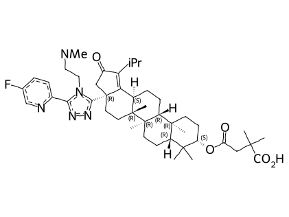 CNCCn1c(-c2ccc(F)cn2)nnc1[C@@]12CC[C@]3(C)[C@H](CC[C@@H]4[C@@]5(C)CC[C@H](OC(=O)CC(C)(C)C(=O)O)C(C)(C)[C@@H]5CC[C@]43C)C1=C(C(C)C)C(=O)C2